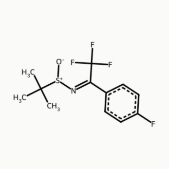 CC(C)(C)[S+]([O-])N=C(c1ccc(F)cc1)C(F)(F)F